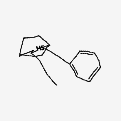 CC1CCC2CCC(CC2)[SH]1c1ccccc1